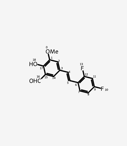 COc1cc(/C=C/c2ccc(F)cc2F)cc(C=O)c1O